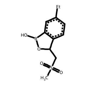 CCc1ccc2c(c1)B(O)OC2CS(C)(=O)=O